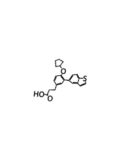 O=C(O)CCc1ccc(OC2CCCC2)c(-c2ccc3sccc3c2)c1